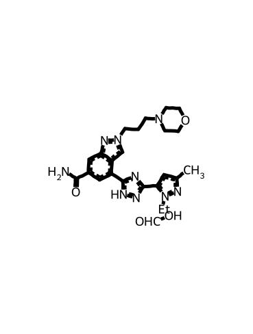 CCn1nc(C)cc1-c1n[nH]c(-c2cc(C(N)=O)cc3nn(CCCN4CCOCC4)cc23)n1.O=CO